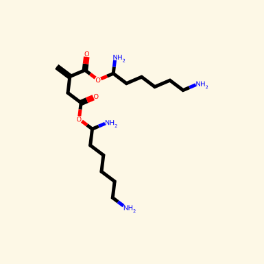 C=C(CC(=O)OC(N)CCCCCN)C(=O)OC(N)CCCCCN